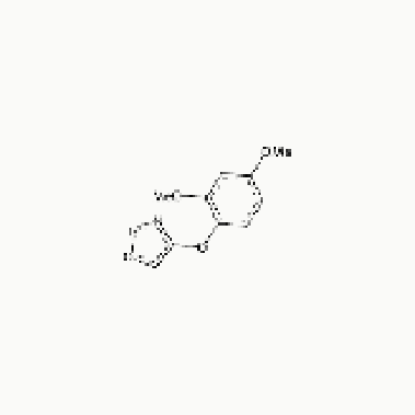 COc1ccc(Oc2co[c]n2)c(OC)c1